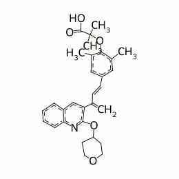 C=C(/C=C/c1cc(C)c(OC(C)(C)C(=O)O)c(C)c1)c1cc2ccccc2nc1OC1CCOCC1